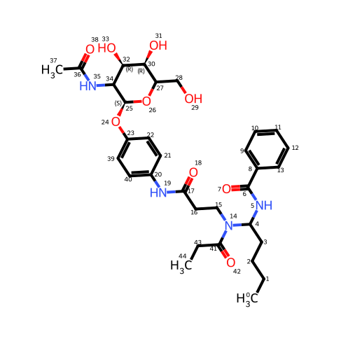 CCCCC(NC(=O)c1ccccc1)N(CCC(=O)Nc1ccc(O[C@@H]2OC(CO)[C@H](O)[C@H](O)C2NC(C)=O)cc1)C(=O)CC